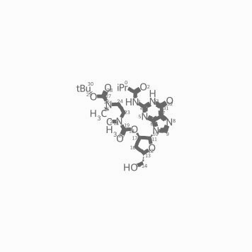 CC(C)C(=O)Nc1nc2c(ncn2[C@@H]2O[C@H](CO)C[C@H]2OC(=O)N(C)CCN(C)C(=O)OC(C)(C)C)c(=O)[nH]1